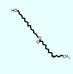 CCCC/C=C\CCCCCCCC(=O)OCCCCCCCCCCCCCCO